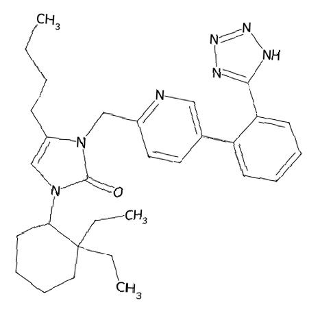 CCCCc1cn(C2CCCCC2(CC)CC)c(=O)n1Cc1ccc(-c2ccccc2-c2nnn[nH]2)cn1